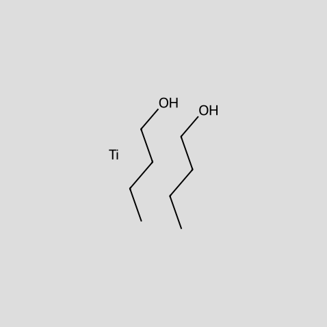 CCCCO.CCCCO.[Ti]